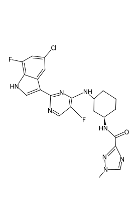 Cn1cnc(C(=O)N[C@@H]2CCCC(Nc3nc(-c4c[nH]c5c(F)cc(Cl)cc45)ncc3F)C2)n1